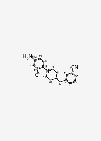 N#Cc1cc[c]c(CC2CCN(c3ccc(N)cc3Cl)CC2)c1